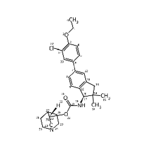 CCOc1ccc(-c2ccc3c(c2)CC(C)(C)[C@H]3NC(=O)O[C@@H]2CN3CCC2CC3)cc1Cl